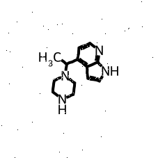 CC(c1ccnc2[nH]ccc12)N1CCNCC1